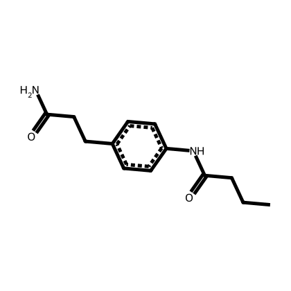 CCCC(=O)Nc1ccc(CCC(N)=O)cc1